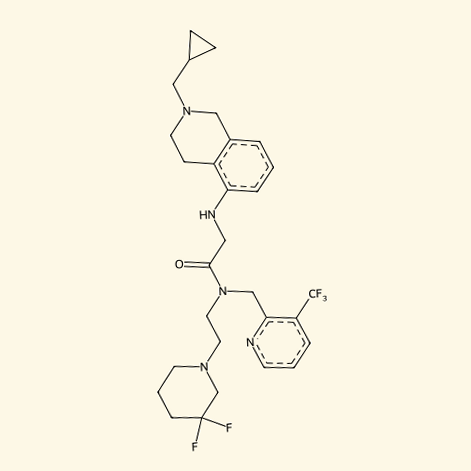 O=C(CNc1cccc2c1CCN(CC1CC1)C2)N(CCN1CCCC(F)(F)C1)Cc1ncccc1C(F)(F)F